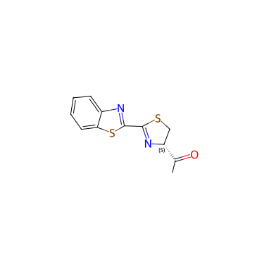 CC(=O)[C@H]1CSC(c2nc3ccccc3s2)=N1